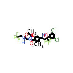 CCC(=O)N(CC(=O)NCC(F)(F)F)C(=O)c1ccc(C2=NOC(c3cc(Cl)cc(Cl)c3)(C(F)(F)F)C2)cc1C